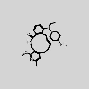 CCN(c1cccc2c1C/C=C/CCc1cc(C)nc(OC)c1CNC2=O)[C@H]1CC[C@@H](N)CC1